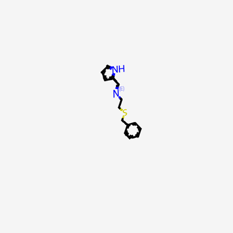 C(=N\CCSCc1ccccc1)/c1ccc[nH]1